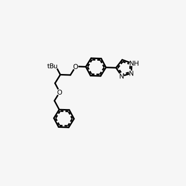 CC(C)(C)C(COCc1ccccc1)COc1ccc(-c2c[nH]nn2)cc1